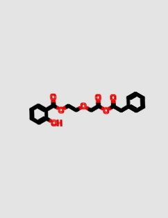 O=C(COCCOC(=O)c1ccccc1O)OC(=O)Cc1ccccc1